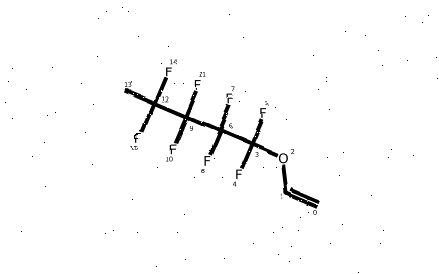 C=COC(F)(F)C(F)(F)C(F)(F)C(C)(F)F